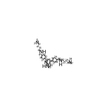 CN(C)CCCCNCc1ccc(-c2cc(-c3ccc(CNCCCCN(C)C)cc3)c3cc[nH]c3n2)cc1